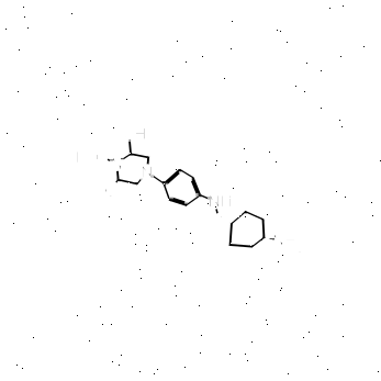 CC1CN(c2ccc(NC[C@H]3CC[C@H](N)CC3)cc2)CC(C)N1C